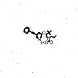 CCCN(CC(Oc1cncc(C#Cc2ccccc2)c1)C(C)(C)C)C(=O)O